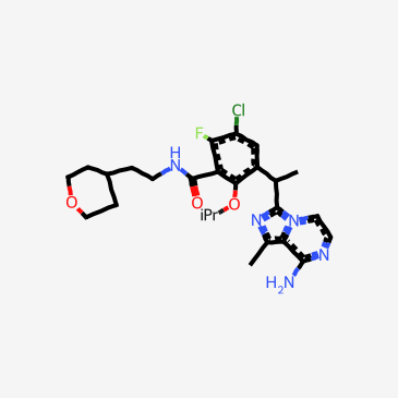 Cc1nc(C(C)c2cc(Cl)c(F)c(C(=O)NCCC3CCOCC3)c2OC(C)C)n2ccnc(N)c12